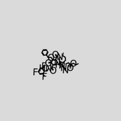 CCOC(=O)CC[C@@]1(N=[N+]=[N-])CC[C@H](C)N2C[C@H]1n1cc(C(=O)NCc3c(F)cc(F)cc3F)c(=O)c(OCc3ccccc3)c1C2=O